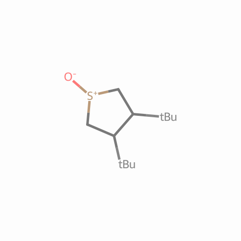 CC(C)(C)C1C[S+]([O-])CC1C(C)(C)C